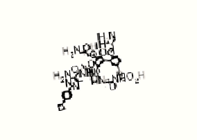 Cc1nc(-c2ccc(C3CCC3)cc2)nc(N)c1C(=O)N[C@@H](C)C(=O)N(C)[C@@H]1C(=O)N[C@@H](C)C(=O)N[C@H](C(=O)O)Cc2ccc(OCCCN)c(c2)-c2cc1cc(OC[C@H](O)CN)c2O